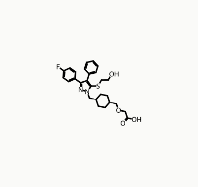 O=C(O)COC[C@H]1CC[C@@H](Cn2nc(-c3ccc(F)cc3)c(-c3ccccc3)c2SCCO)CC1